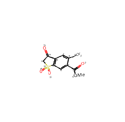 COC(=O)c1cc2c(cc1C(F)(F)F)C(=O)CS2(=O)=O